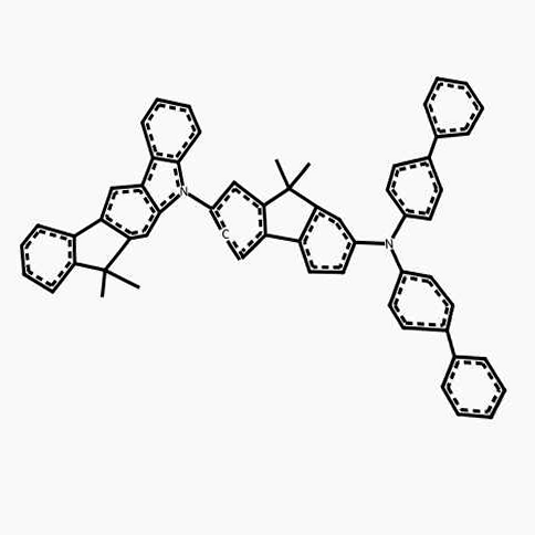 CC1(C)c2cc(N(c3ccc(-c4ccccc4)cc3)c3ccc(-c4ccccc4)cc3)ccc2-c2ccc(-n3c4ccccc4c4cc5c(cc43)C(C)(C)c3ccccc3-5)cc21